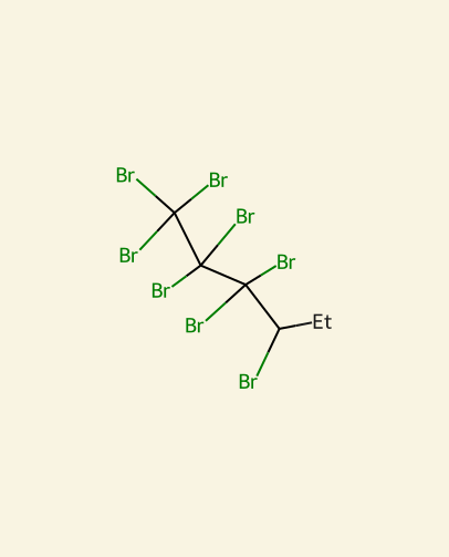 CCC(Br)C(Br)(Br)C(Br)(Br)C(Br)(Br)Br